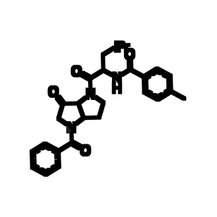 Cc1ccc(C(=O)NC(CC(C)C)C(=O)N2CCC3C2C(=O)CN3C(=O)c2ccccc2)cc1